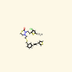 O=C(O)c1cc(Cl)c(CCN2C(=O)SCCN2CCSCc2cccc(C#Cc3ccsc3)c2)s1